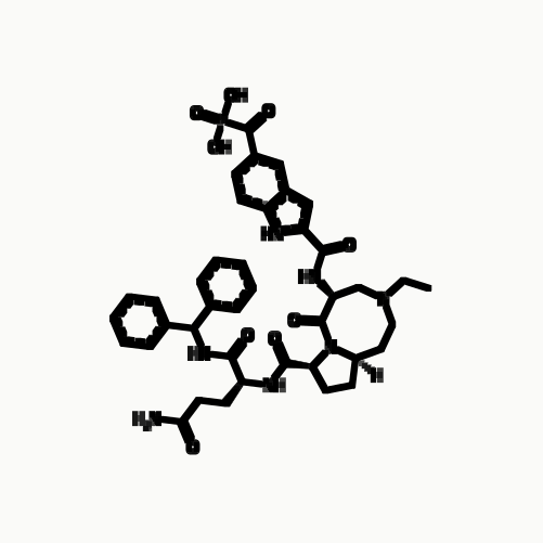 CCN1CC[C@H]2CC[C@@H](C(=O)N[C@@H](CCC(N)=O)C(=O)NC(c3ccccc3)c3ccccc3)N2C(=O)[C@@H](NC(=O)c2cc3cc(C(=O)P(=O)(O)O)ccc3[nH]2)C1